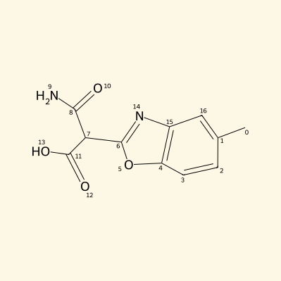 Cc1ccc2oc(C(C(N)=O)C(=O)O)nc2c1